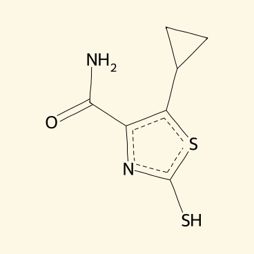 NC(=O)c1nc(S)sc1C1CC1